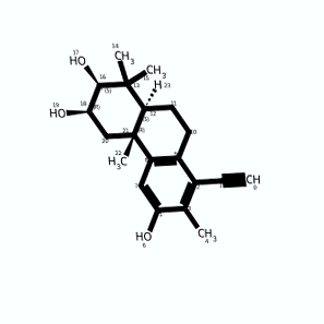 C#Cc1c(C)c(O)cc2c1CC[C@@H]1C(C)(C)[C@H](O)[C@H](O)C[C@@]21C